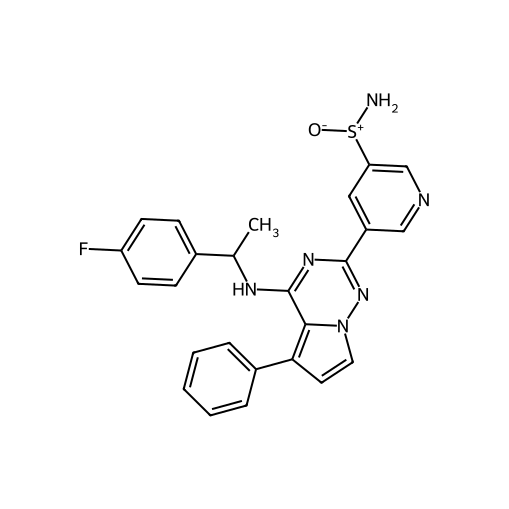 CC(Nc1nc(-c2cncc([S+](N)[O-])c2)nn2ccc(-c3ccccc3)c12)c1ccc(F)cc1